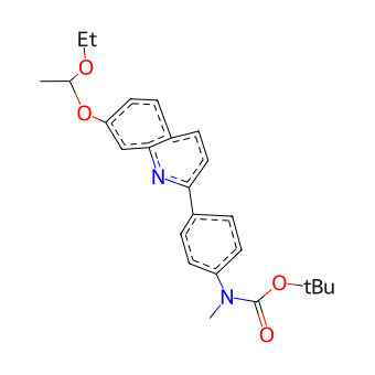 CCOC(C)Oc1ccc2ccc(-c3ccc(N(C)C(=O)OC(C)(C)C)cc3)nc2c1